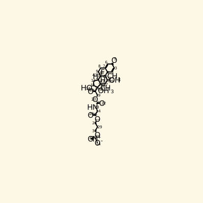 C[C@]12C=CC(=O)C=C1CC[C@H]1[C@@H]3C[C@@H](O)[C@](O)(C(=O)COC(=O)NCC(=O)OCCCO[N+](=O)[O-])[C@@]3(C)C[C@H](O)[C@@]12F